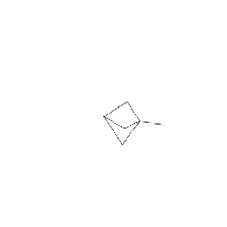 CC12CC(C)(C1)C2